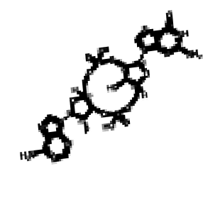 Nc1nc2c(ncn2[C@@H]2O[C@@H]3COP(=O)(O)OC4[C@@H](COP(=O)(O)O[C@@H]2C3O)O[C@@H](n2cnc3c(N)ncnc32)[C@H]4F)c(=O)[nH]1